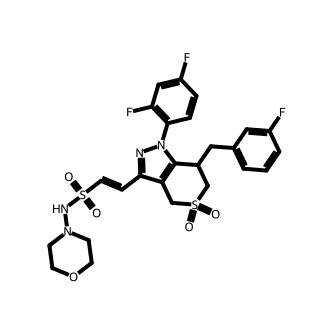 O=S1(=O)Cc2c(/C=C/S(=O)(=O)NN3CCOCC3)nn(-c3ccc(F)cc3F)c2C(Cc2cccc(F)c2)C1